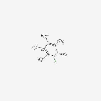 CC1=C(C)C(C)C(F)C(C)=C1C